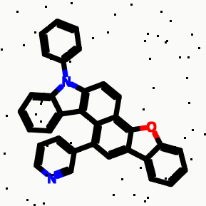 c1ccc(-n2c3ccccc3c3c4c(-c5cccnc5)cc5c6ccccc6oc5c4ccc32)cc1